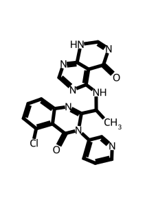 CC(Nc1ncnc2[nH]cnc(=O)c12)c1nc2cccc(Cl)c2c(=O)n1-c1cccnc1